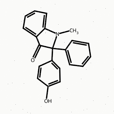 CN1c2ccccc2C(=O)C1(c1ccccc1)c1ccc(O)cc1